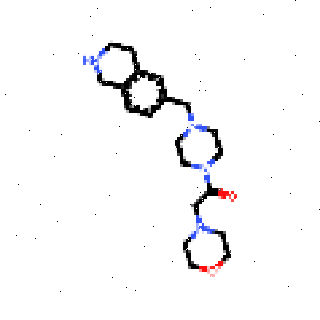 O=C(CN1CCOCC1)N1CCN(Cc2ccc3c(c2)CCNC3)CC1